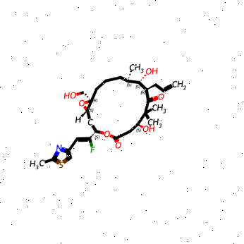 C=CC[C@H]1C(=O)C(C)(C)[C@@H](O)CC(=O)O[C@H](C(F)=Cc2csc(C)n2)C[C@@H]2O[C@@]2(CO)CCC[C@H](C)[C@@H]1O